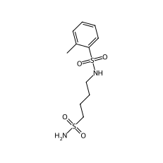 Cc1ccccc1S(=O)(=O)NCCCCS(N)(=O)=O